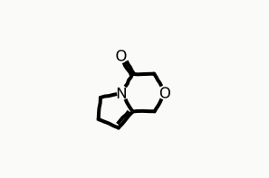 O=C1COCC2=CCCN12